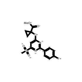 COC(=O)C1(Oc2cc(S(C)(=O)=O)nc(-c3ccc(F)cc3)n2)CC1